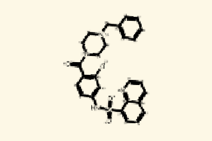 O=C(c1ccc(NS(=O)(=O)c2cccc3cccnc23)cc1Cl)N1CCN(Cc2ccccc2)CC1